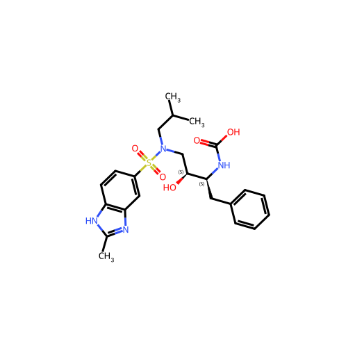 Cc1nc2cc(S(=O)(=O)N(CC(C)C)C[C@H](O)[C@H](Cc3ccccc3)NC(=O)O)ccc2[nH]1